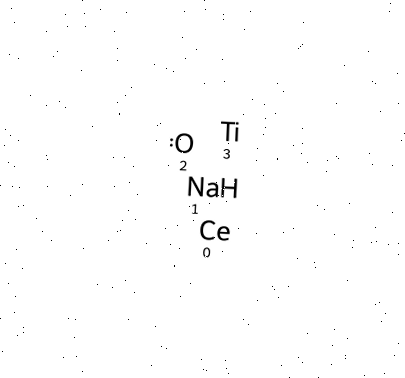 [Ce].[NaH].[O].[Ti]